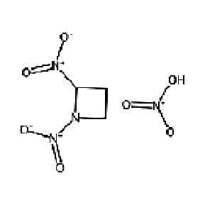 O=[N+]([O-])C1CCN1[N+](=O)[O-].O=[N+]([O-])O